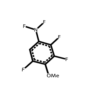 COc1c(F)cc(N(F)F)c(F)c1F